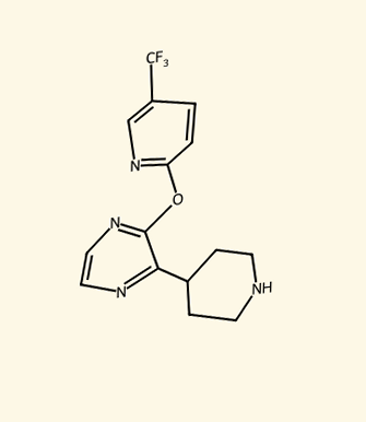 FC(F)(F)c1ccc(Oc2nccnc2C2CCNCC2)nc1